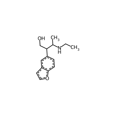 CCNC(C)C(CO)c1ccc2occc2c1